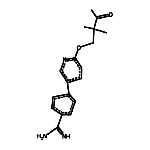 CC(=O)C(C)(C)COc1ccc(-c2ccc(C(=N)N)cc2)cn1